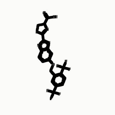 O=C(O)C1CSC(c2nc3ccc(OCc4cc(C(F)(F)F)ccc4C(F)(F)F)cc3s2)=N1